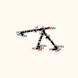 CNCCCCCNC(=O)C(CCCCNC(=O)COCCOCCOCCOC1CC(O)C(O)C(CO)O1)NC(=O)C(CCCCNC(=O)COCCOCCOCCOC1OC(CO)C(O)C(O)[C@H]1NC(C)=O)NC(=O)COCCOCCOCCOC1OC(CO)C(O)C(O)[C@H]1NC(C)=O